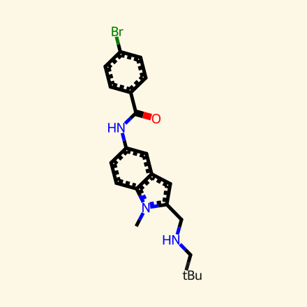 Cn1c(CNCC(C)(C)C)cc2cc(NC(=O)c3ccc(Br)cc3)ccc21